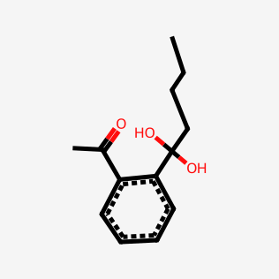 CCCCC(O)(O)c1ccccc1C(C)=O